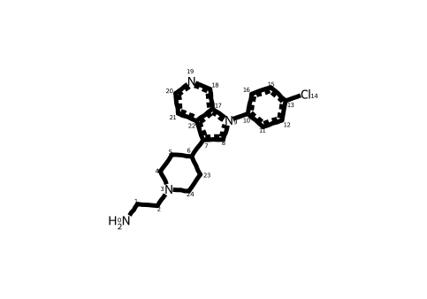 NCCN1CCC(c2cn(-c3ccc(Cl)cc3)c3cnccc23)CC1